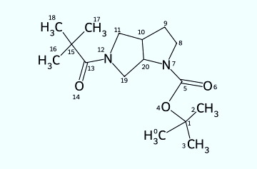 CC(C)(C)OC(=O)N1CCC2CN(C(=O)C(C)(C)C)CC21